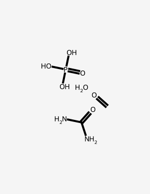 C=O.NC(N)=O.O.O=P(O)(O)O